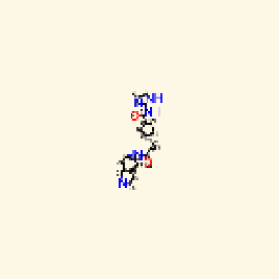 O=C(Nc1ncc[nH]1)c1ccc([C@@H]2C[C@H]2C(=O)Nc2ccc3cnccc3c2)cc1